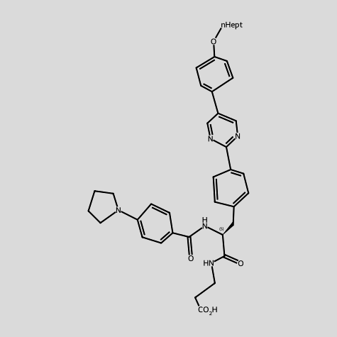 CCCCCCCOc1ccc(-c2cnc(-c3ccc(C[C@H](NC(=O)c4ccc(N5CCCC5)cc4)C(=O)NCCC(=O)O)cc3)nc2)cc1